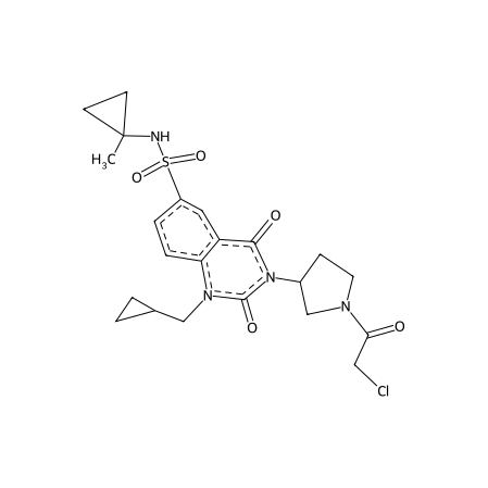 CC1(NS(=O)(=O)c2ccc3c(c2)c(=O)n(C2CCN(C(=O)CCl)C2)c(=O)n3CC2CC2)CC1